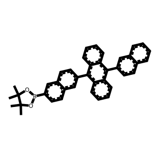 CC1(C)OB(c2ccc3cc(-c4c5ccccc5c(-c5ccc6ccccc6c5)c5ccccc45)ccc3c2)OC1(C)C